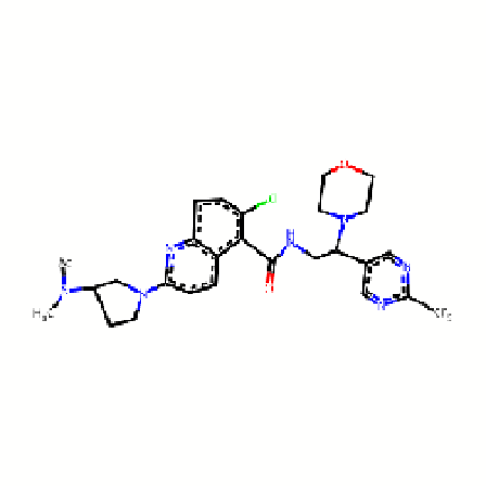 CC(=O)N(C)C1CCN(c2ccc3c(C(=O)NCC(c4cnc(C(F)(F)F)nc4)N4CCOCC4)c(Cl)ccc3n2)C1